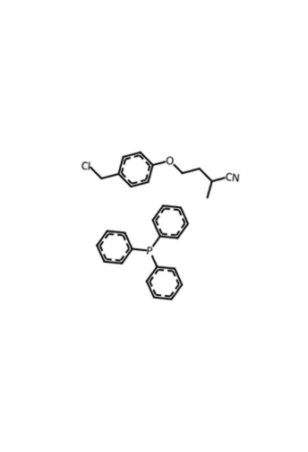 CC(C#N)CCOc1ccc(CCl)cc1.c1ccc(P(c2ccccc2)c2ccccc2)cc1